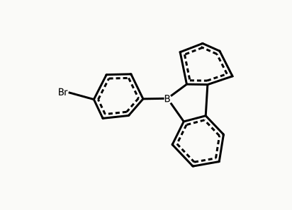 Brc1ccc(B2c3ccccc3-c3ccccc32)cc1